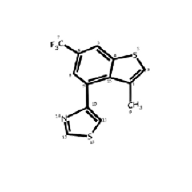 Cc1[c]sc2cc(C(F)(F)F)cc(-c3cscn3)c12